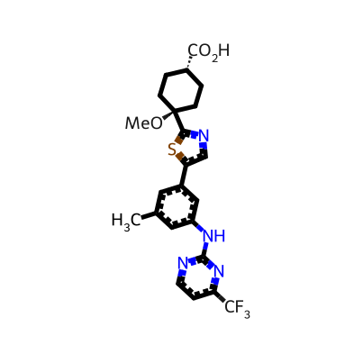 CO[C@]1(c2ncc(-c3cc(C)cc(Nc4nccc(C(F)(F)F)n4)c3)s2)CC[C@@H](C(=O)O)CC1